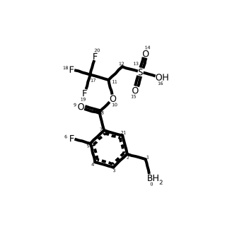 BCc1ccc(F)c(C(=O)OC(CS(=O)(=O)O)C(F)(F)F)c1